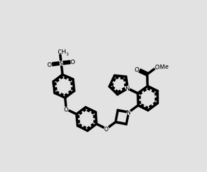 COC(=O)c1cccc(N2CC(Oc3ccc(Oc4ccc(S(C)(=O)=O)cc4)cc3)C2)c1-n1cccc1